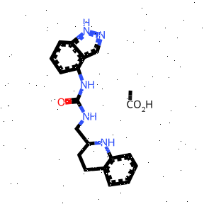 CC(=O)O.O=C(NCC1CCc2ccccc2N1)Nc1cccc2[nH]ncc12